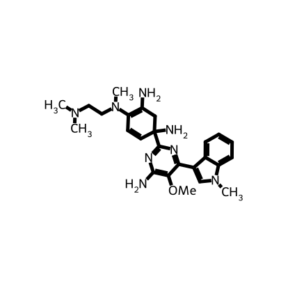 COc1c(N)nc(C2(N)C=CC(N(C)CCN(C)C)=C(N)C2)nc1-c1cn(C)c2ccccc12